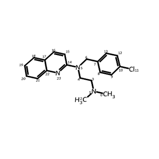 CN(C)CCN(Cc1ccc(Cl)cc1)c1ccc2ccccc2n1